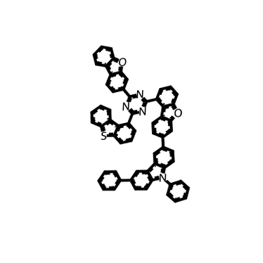 c1ccc(-c2ccc3c(c2)c2cc(-c4ccc5c(c4)oc4cccc(-c6nc(-c7ccc8c(c7)oc7ccccc78)nc(-c7cccc8sc9ccccc9c78)n6)c45)ccc2n3-c2ccccc2)cc1